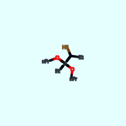 CCCO[Si](CC)(OCCC)C(S)CC